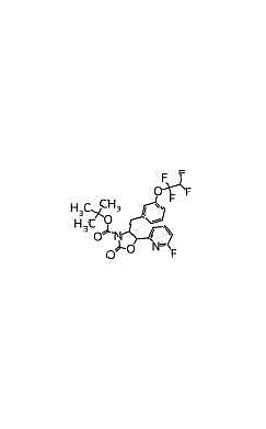 CC(C)(C)OC(=O)N1C(=O)OC(c2cccc(F)n2)C1Cc1cccc(OC(F)(F)C(F)F)c1